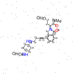 CNC(=O)C(CCC=O)N1Cc2c(C#CCCN[C@H]3CC[C@@H](NC=O)CC3)cccc2C1=O